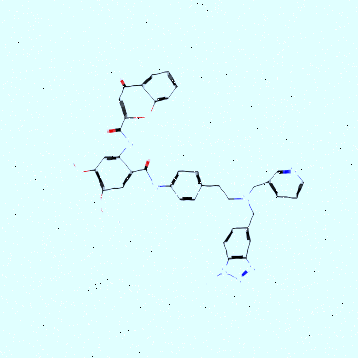 COc1cc(NC(=O)c2cc(=O)c3ccccc3o2)c(C(=O)Nc2ccc(CCN(Cc3cccnc3)Cc3ccc4c(c3)nnn4C)cc2)cc1OC